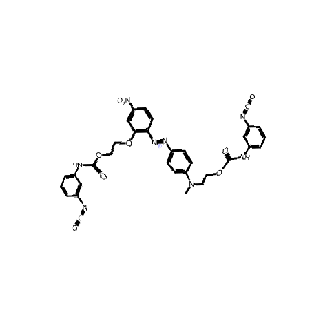 CN(CCOC(=O)Nc1cccc(N=C=O)c1)c1ccc(/N=N/c2ccc([N+](=O)[O-])cc2OCCOC(=O)Nc2cccc(N=C=O)c2)cc1